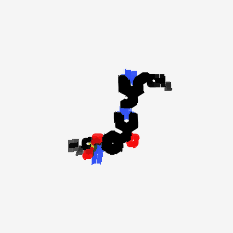 CCc1cc(CCN2CCC(C(=O)c3ccc(NS(C)(=O)=O)cc3)CC2)ccn1